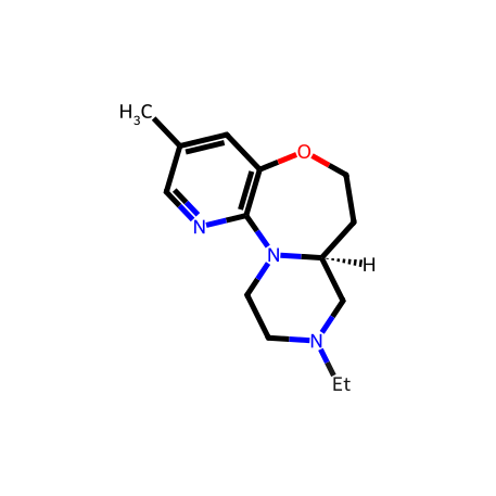 CCN1CCN2c3ncc(C)cc3OCC[C@H]2C1